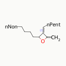 C=C1OC(CCCCCCCCCCCCC)/C1=C/CCCCC